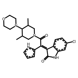 CC1CN(C(=O)C(=C2C(=O)Nc3cc(Cl)ccc32)c2ccc[nH]2)CC(C)C1N1CCOCC1